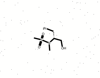 CC(C)C[C@H](CO)N(C)S(C)(=O)=O